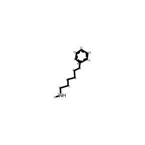 CNCCCCCCc1ccccc1